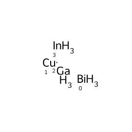 [BiH3].[Cu].[GaH3].[InH3]